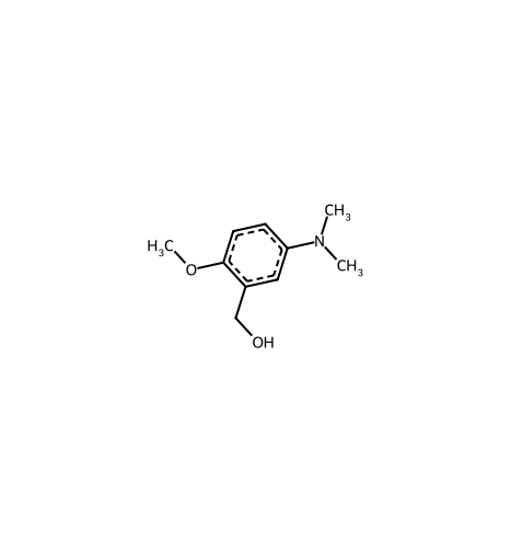 COc1ccc(N(C)C)cc1CO